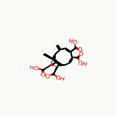 C=C1/C=C(C(=O)O)\C(C(=O)O)=C/C2/C=C(C(=O)O)\C(C(=O)O)=C/C(=C)C1c1ccccc12